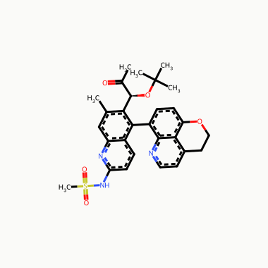 CC(=O)[C@@H](OC(C)(C)C)c1c(C)cc2nc(NS(C)(=O)=O)ccc2c1-c1ccc2c3c(ccnc13)CCO2